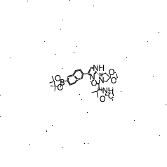 COC(=O)N[C@H](C(=O)N1CC2(C[C@H]1c1nc(-c3ccc4cc(B5OC(C)(C)C(C)(C)O5)ccc4c3)c[nH]1)OCCO2)C(C)C